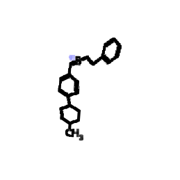 CC1CCC(c2ccc(/C=B/CCc3ccccc3)cc2)CC1